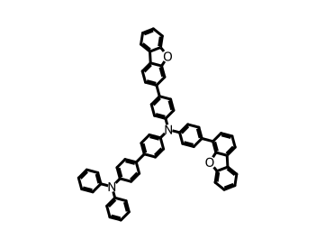 c1ccc(N(c2ccccc2)c2ccc(-c3ccc(N(c4ccc(-c5ccc6c(c5)oc5ccccc56)cc4)c4ccc(-c5cccc6c5oc5ccccc56)cc4)cc3)cc2)cc1